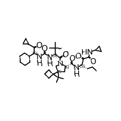 CCC[C@H](NC(=O)[C@@H]1C[C@@]2(CN1C(=O)[C@@H](NC(=O)N[C@H](C(=O)C1CC1)C1CCCCC1)C(C)(C)C)C(C)(C)C21CCC1)C(=O)C(=O)NC1CC1